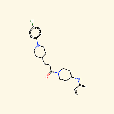 C=CC(=C)NC1CCN(C(=O)CCC2CCN(c3ccc(Cl)cc3)CC2)CC1